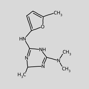 Cc1ccc(NC2=NC(C)N=C(N(C)C)N2)o1